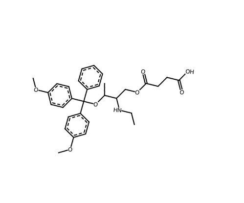 CCNC(COC(=O)CCC(=O)O)C(C)OC(c1ccccc1)(c1ccc(OC)cc1)c1ccc(OC)cc1